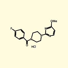 COc1ccnc(N2CCN(C(=O)c3ccc(F)cc3)CC2)n1.Cl